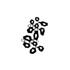 c1ccc(N(c2ccccc2)c2cc3c4c(c2)N2c5ccccc5Oc5cccc(c52)B4c2cc4c(cc2O3)N(c2ccccc2)c2cc(N(c3ccccc3)c3ccccc3)cc3c2B4c2cccc4c2N3c2ccccc2O4)cc1